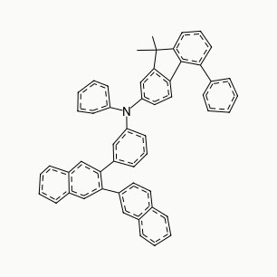 CC1(C)c2cc(N(c3ccccc3)c3cccc(-c4cc5ccccc5cc4-c4ccc5ccccc5c4)c3)ccc2-c2c(-c3ccccc3)cccc21